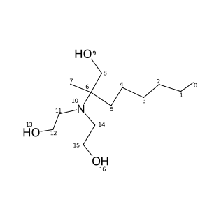 CCCCCCC(C)(CO)N(CCO)CCO